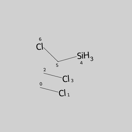 CCl.CCl.[SiH3]CCl